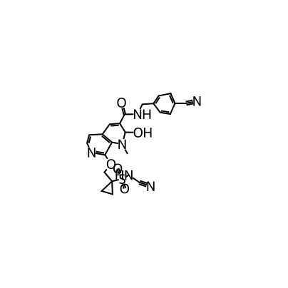 CN1c2c(ccnc2OCC2(S(=O)(=O)NC#N)CC2)C=C(C(=O)NCc2ccc(C#N)cc2)C1O